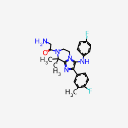 Cc1cc(-c2nc3n(c2Nc2ccc(F)cc2)CCN(C(=O)CN)C3(C)C)ccc1F